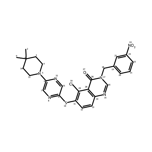 CC1(C)CCN(c2cnc(Sc3ccc4ncn(Cc5cccc([N+](=O)[O-])c5)c(=O)c4c3Cl)cn2)CC1